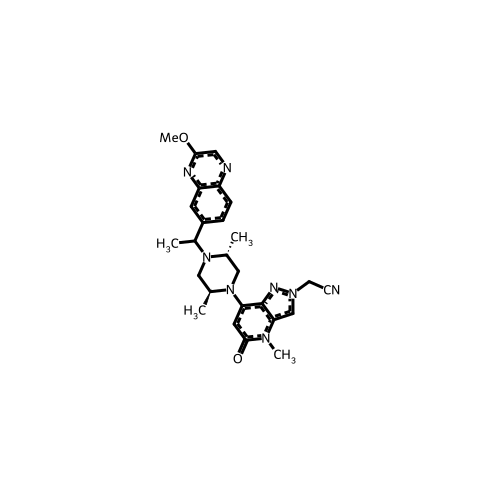 COc1cnc2ccc(C(C)N3C[C@H](C)N(c4cc(=O)n(C)c5cn(CC#N)nc45)C[C@H]3C)cc2n1